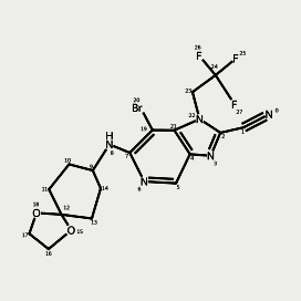 N#Cc1nc2cnc(NC3CCC4(CC3)OCCO4)c(Br)c2n1CC(F)(F)F